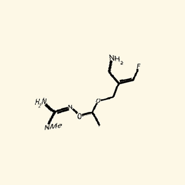 CN/C(N)=N\OC(C)OC/C(=C/F)CN